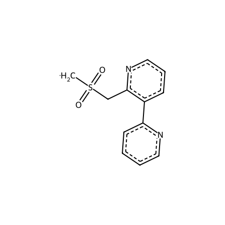 [CH2]S(=O)(=O)Cc1ncccc1-c1ccccn1